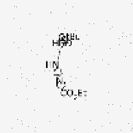 CCOC(=O)C1CCN(c2ccc(NCCCCCNS(=O)(=O)C(C)(C)C)cc2)CC1